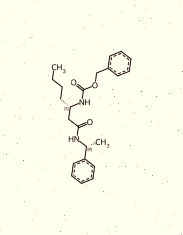 CCCC[C@@H](CC(=O)N[C@H](C)c1ccccc1)NC(=O)OCc1ccccc1